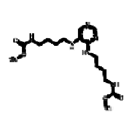 CC(C)(C)OC(=O)NCCCCNc1cncnc1NCCCCNC(=O)OC(C)(C)C